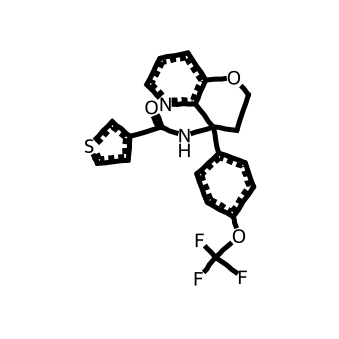 O=C(NC1(c2ccc(OC(F)(F)F)cc2)CCOc2cccnc21)c1ccsc1